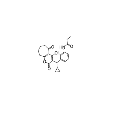 [CH2]CC(=O)Nc1cccc(C(c2c(O)c3c(oc2=O)CCCCC3=O)C2CC2)c1